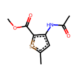 COC(=O)c1sc(C)cc1NC(C)=O